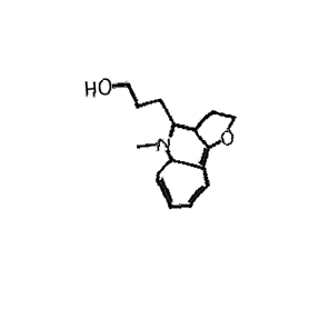 CN1C2C=CC=CC2=C2OCCC2C1CCCO